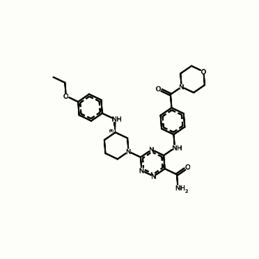 CCOc1ccc(N[C@@H]2CCCN(c3nnc(C(N)=O)c(Nc4ccc(C(=O)N5CCOCC5)cc4)n3)C2)cc1